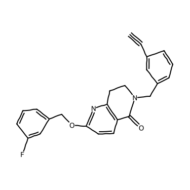 C#Cc1cccc(CN2CCc3nc(OCc4cccc(F)c4)ccc3C2=O)c1